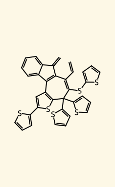 C=CC1=C(Sc2cccs2)C(c2cccs2)(c2cccs2)c2sc(-c3cccs3)cc2C2=C1C(=C)c1ccccc12